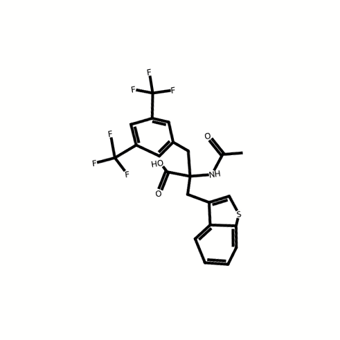 CC(=O)NC(Cc1cc(C(F)(F)F)cc(C(F)(F)F)c1)(Cc1csc2ccccc12)C(=O)O